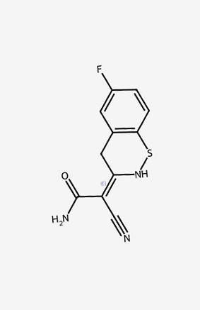 N#C/C(C(N)=O)=C1/Cc2cc(F)ccc2SN1